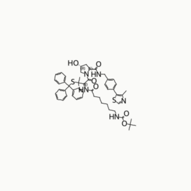 Cc1ncsc1-c1ccc(CNC(=O)[C@@H]2C[C@@H](O)CN2C(=O)[C@@H](NC(=O)CCCCCCNC(=O)OC(C)(C)C)C(C)(C)SC(c2ccccc2)(c2ccccc2)c2ccccc2)cc1